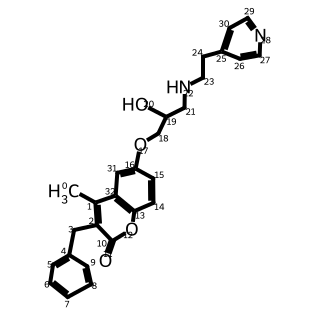 Cc1c(Cc2ccccc2)c(=O)oc2ccc(OCC(O)CNCCc3ccncc3)cc12